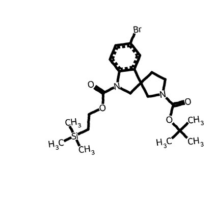 CC(C)(C)OC(=O)N1CCC2(C1)CN(C(=O)OCC[Si](C)(C)C)c1ccc(Br)cc12